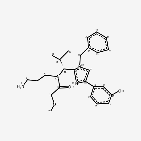 COCC(=O)N(CCCN)[C@@H](c1nc(-c2cccc(Cl)c2)cn1Cc1ccccc1)C(C)C